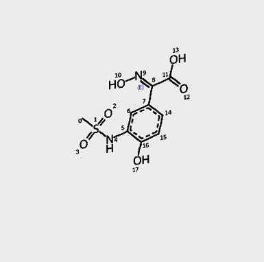 CS(=O)(=O)Nc1cc(/C(=N\O)C(=O)O)ccc1O